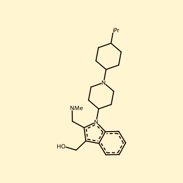 CNCc1c(CO)c2ccccc2n1C1CCN(C2CCC(C(C)C)CC2)CC1